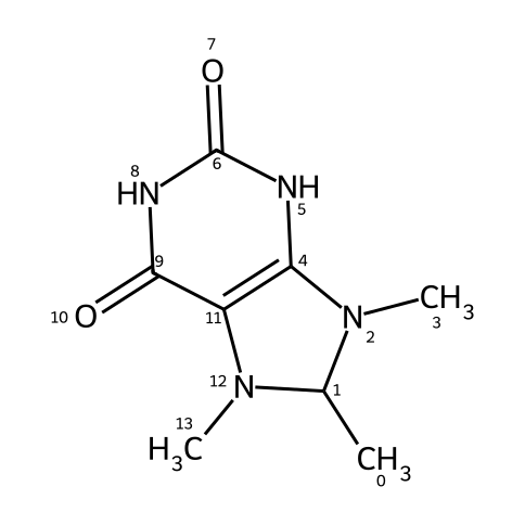 CC1N(C)c2[nH]c(=O)[nH]c(=O)c2N1C